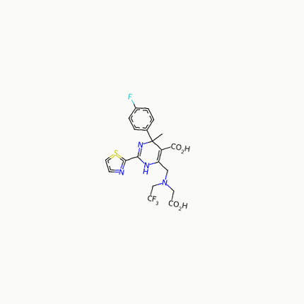 CC1(c2ccc(F)cc2)N=C(c2nccs2)NC(CN(CC(=O)O)CC(F)(F)F)=C1C(=O)O